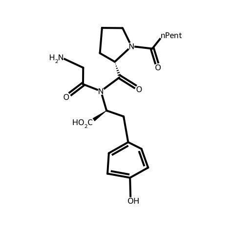 CCCCCC(=O)N1CCC[C@H]1C(=O)N(C(=O)CN)[C@@H](Cc1ccc(O)cc1)C(=O)O